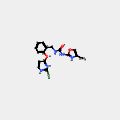 Cc1coc(NC(=O)NCc2ccccc2Oc2ccnc(Cl)n2)n1